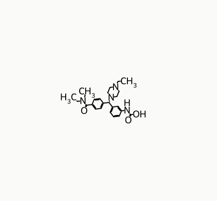 CCN1CCN([C@H](c2ccc(C(=O)N(CC)CC)cc2)c2cccc(NC(=O)O)c2)CC1